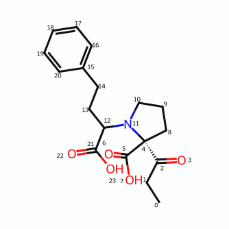 CCC(=O)[C@@]1(C(=O)O)CCCN1C(CCc1ccccc1)C(=O)O